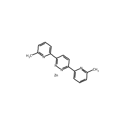 Cc1cccc(-c2ccc(-c3cccc(C)n3)nn2)n1.[Zn]